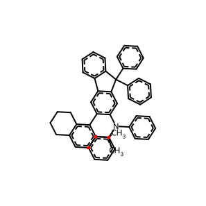 CC(C)c1ccc2c(c1-c1cc3c(cc1N(c1ccccc1)c1ccccc1)C(c1ccccc1)(c1ccccc1)c1ccccc1-3)CCCC2